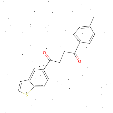 Cc1ccc(C(=O)CCC(=O)c2ccc3sccc3c2)cc1